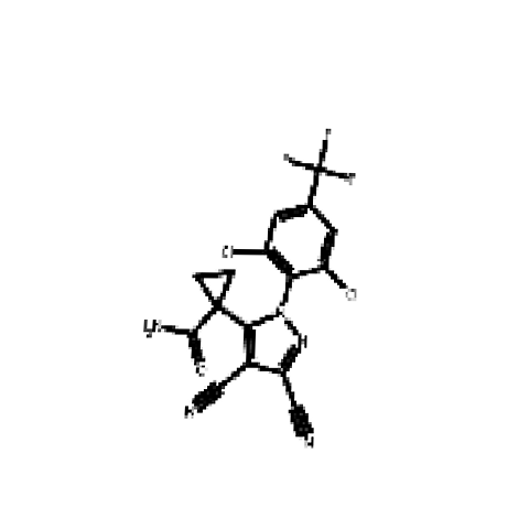 N#Cc1nn(-c2c(Cl)cc(C(F)(F)F)cc2Cl)c(C2(C(N)=O)CC2)c1C#N